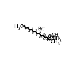 CCCCCCCCCCCCCCCC(C)[N+](C)(C)C.[Br-]